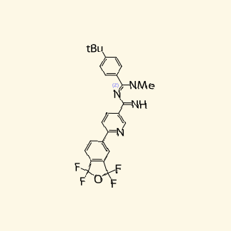 CN/C(=N\C(=N)c1ccc(-c2ccc3c(c2)C(F)(F)OC3(F)F)nc1)c1ccc(C(C)(C)C)cc1